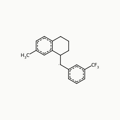 Cc1ccc2c(c1)C([CH]c1cccc(C(F)(F)F)c1)CCC2